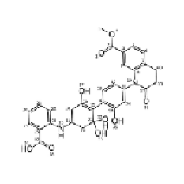 COC(=O)c1ccc2c(c1)N(c1ccc(C3=C(O)C=C(Nc4ccccc4C(=O)O)CC3(O)O)c(O)c1)C(=O)CC2